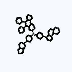 c1ccc(-c2c(-c3ccccc3)c3cc(N(c4ccc(-c5ccc6ccccc6c5)cc4)c4ccc(-c5cccc6c5ccc5ccccc56)cc4)ccc3c3ccccc23)cc1